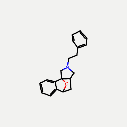 c1ccc(CCN2CC3CC4OC3(C2)c2ccccc24)cc1